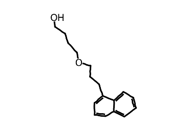 OCCCCOCCCc1cccc2ccccc12